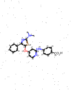 CN(C)c1nc(-c2ccccc2)c(Oc2ccnc(Nc3ccc(C(=O)O)cc3)c2)s1